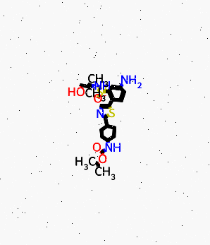 CC(C)OC(=O)NC1CCC(c2ncc(-c3ccc(N)cc3[S+]([O-])NC(C)(C)CO)s2)CC1